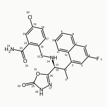 CC(c1cc(F)cc2ccccc12)[C@H](NSc1ccc(Cl)cc1C(N)=O)c1n[nH]c(=O)o1